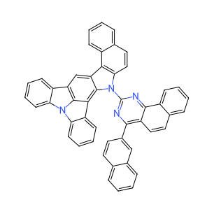 c1ccc2cc(-c3nc(-n4c5ccc6ccccc6c5c5cc6c7ccccc7n7c8ccccc8c(c54)c67)nc4c3ccc3ccccc34)ccc2c1